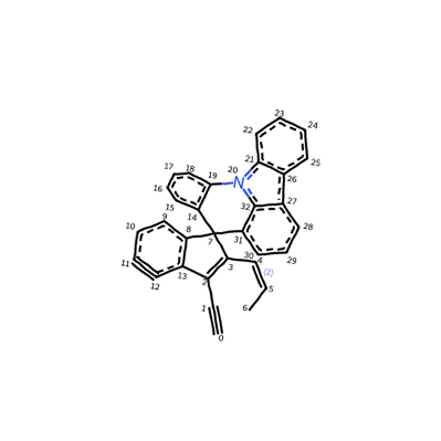 C#CC1=C(/C=C\C)C2(c3ccc#cc31)c1ccccc1-n1c3ccccc3c3cccc2c31